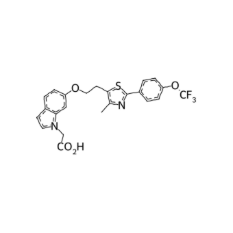 Cc1nc(-c2ccc(OC(F)(F)F)cc2)sc1CCOc1ccc2ccn(CC(=O)O)c2c1